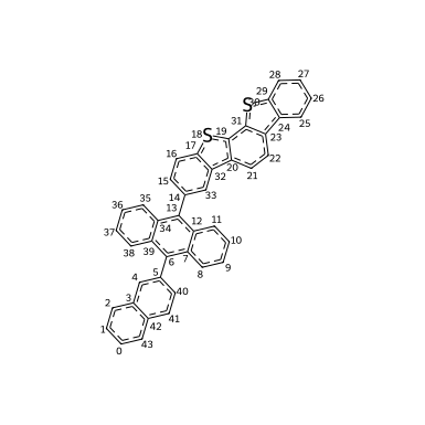 c1ccc2cc(-c3c4ccccc4c(-c4ccc5sc6c(ccc7c8ccccc8sc76)c5c4)c4ccccc34)ccc2c1